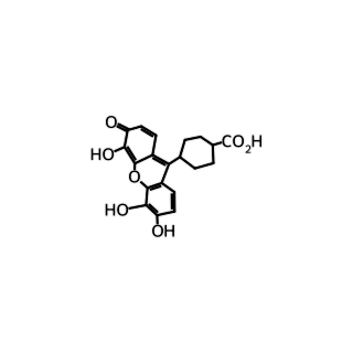 O=C(O)C1CCC(c2c3ccc(=O)c(O)c-3oc3c(O)c(O)ccc23)CC1